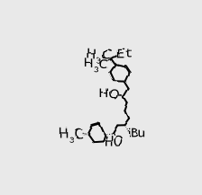 CCC(C)[C@@H](CCC[C@@H](O)CC1CCC(C(C)(C)CC)CC1)CC(O)[C@H]1CC[C@@H](C)CC1